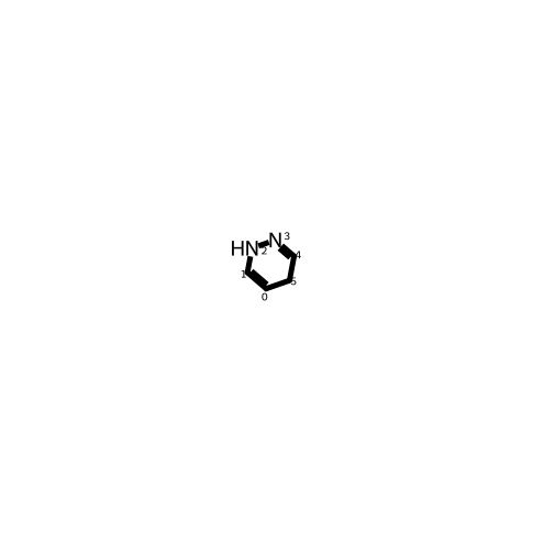 C1=CNN=CC1